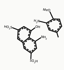 COc1ccc(C)cc1N.Nc1cc(S(=O)(=O)O)cc2cc(S(=O)(=O)O)cc(O)c12